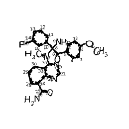 COc1ccc(C(=O)C(N)(c2cccc(F)c2)N(C)c2ncnc3c(C(N)=O)cccc23)cc1